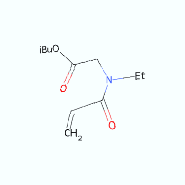 C=CC(=O)N(CC)CC(=O)OCC(C)C